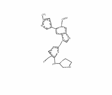 COc1cc2ncn(-c3ccc(F)c(NC4CCNC4)n3)c2cc1-c1cnn(C)c1